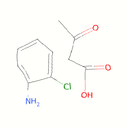 CC(=O)CC(=O)O.Nc1ccccc1Cl